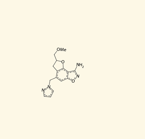 COCC1Cc2c(Cn3cccn3)cc3onc(N)c3c2O1